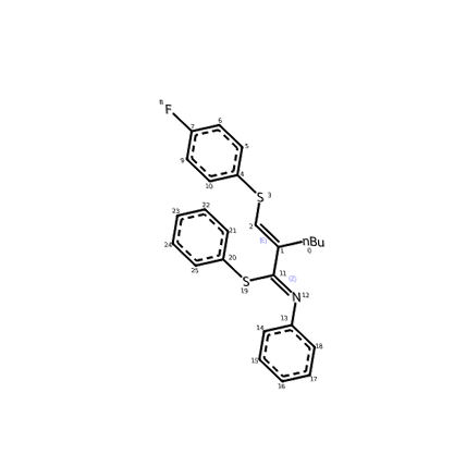 CCCCC(=C\Sc1ccc(F)cc1)/C(=N/c1ccccc1)Sc1ccccc1